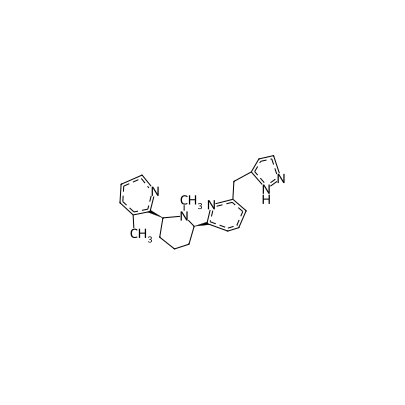 Cc1cccnc1[C@@H]1CCC[C@H](c2cccc(Cc3ccn[nH]3)n2)N1C